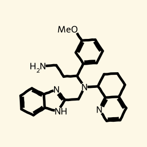 COc1cccc(C(CCN)N(Cc2nc3ccccc3[nH]2)C2CCCc3cccnc32)c1